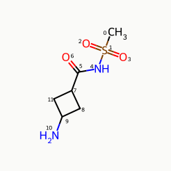 CS(=O)(=O)NC(=O)C1CC(N)C1